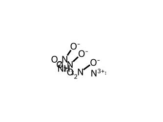 N.O=[N+]([O-])[O-].O=[N+]([O-])[O-].O=[N+]([O-])[O-].[N+3]